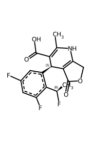 CC1=C(C(=O)O)[C@H](c2cc(F)cc(F)c2[C@@H](C)F)C2=C(COC2=O)N1